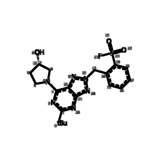 CC(C)(C)c1nc(N2CC[C@H](O)C2)c2nn(Cc3ccccc3S(=O)(=O)F)nc2n1